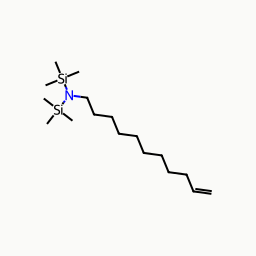 C=CCCCCCCCCCN([Si](C)(C)C)[Si](C)(C)C